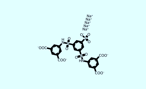 O=C([O-])c1cc(NS(=O)(=O)c2cc(S(=O)(=O)[O-])cc(S(=O)(=O)Nc3cc(C(=O)[O-])cc(C(=O)[O-])c3)c2)cc(C(=O)[O-])c1.[Na+].[Na+].[Na+].[Na+].[Na+]